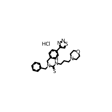 Cl.S=C(NCCCN1CCOCC1)N(Cc1ccccc1)Cc1ccc(-c2csnn2)cc1